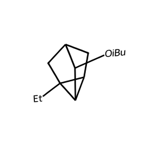 CCC12CC3CC1C2C3OCC(C)C